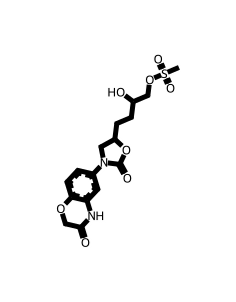 CS(=O)(=O)OCC(O)CCC1CN(c2ccc3c(c2)NC(=O)CO3)C(=O)O1